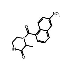 CC1C(=O)NCCN1C(=O)c1cccc2cc([N+](=O)[O-])ccc12